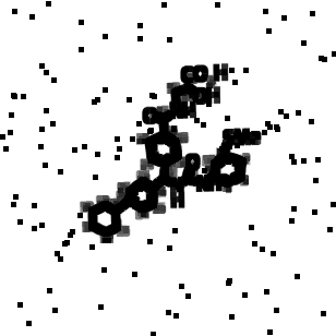 CSc1cccc(NC(=O)NC(c2ccc(C(=O)NC[C@@H](O)C(=O)O)cc2)c2ccc(C3CCCCC3)cc2)c1